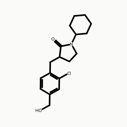 O=C1C(Cc2ccc(CO)cc2Cl)CCN1C1CCCCC1